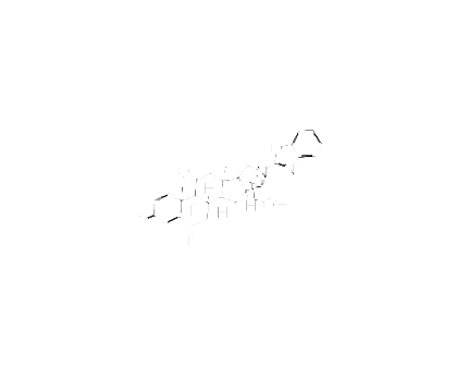 C[C@]12C=CC(=O)C=C1[C@@H](F)C[C@H]1[C@@H]3C[C@H]4CN(c5nc6ccccc6o5)C[C@@]4(C(=O)CO)[C@@]3(C)C[C@H](O)[C@@]12F